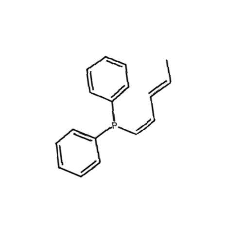 C/C=C/C=C\P(c1ccccc1)c1ccccc1